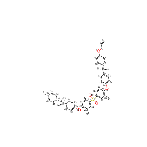 C=CCOc1ccc(C(C)(C)c2ccc(Oc3ccc(S(=O)(=O)c4ccc(Oc5ccc(C(C)(C)c6ccc(C)cc6)cc5)c(C)c4)cc3C)cc2)cc1